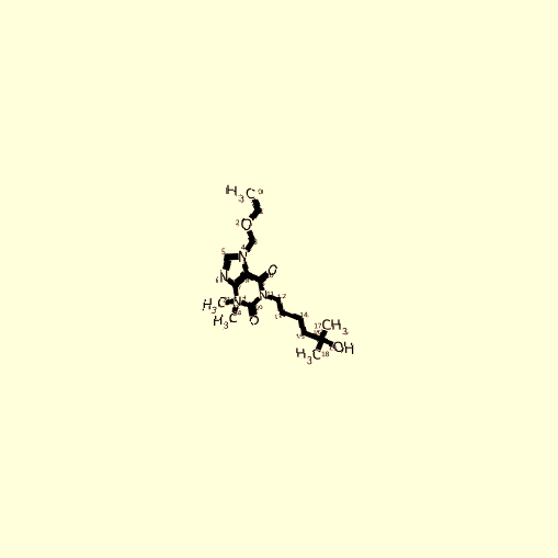 CCOCn1cnc2c1C(=O)N(CCCCC(C)(C)O)C(=O)[N+]2(C)C